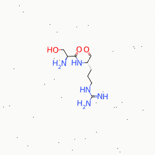 N=C(N)NCCC[C@@H](C=O)NC(=O)[C@@H](N)CO